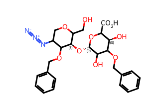 [N-]=[N+]=NC1COC(CO)[C@@H](O[C@@H]2OC(C(=O)O)[C@@H](O)C(OCc3ccccc3)C2O)C1OCc1ccccc1